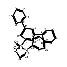 S=P1(c2cc(-c3ccccc3)cc(-c3ccccc3)c2)OC=CN1c1ccccc1